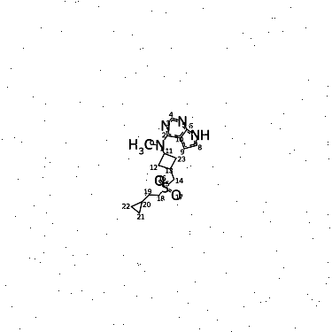 CN(c1ncnc2[nH]ccc12)C1CC(CS(=O)(=O)CCC2CC2)C1